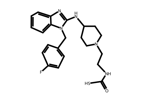 O=C(S)NCCN1CCC(Nc2nc3ccccc3n2Cc2ccc(F)cc2)CC1